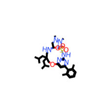 CNN(C)CC1NCC(CC(C)C)(CC(C)C)COc2cc(-c3c(C)cccc3C)nc(n2)NS(=O)(=O)O1